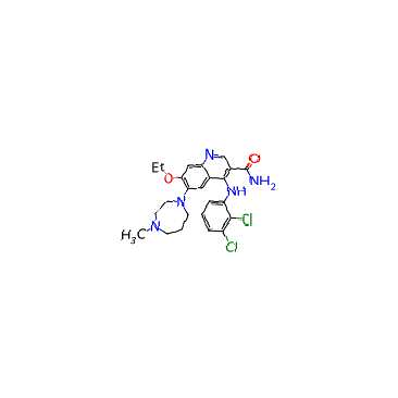 CCOc1cc2ncc(C(N)=O)c(Nc3cccc(Cl)c3Cl)c2cc1N1CCCN(C)CC1